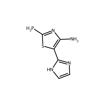 Nc1nc(P)sc1-c1ncc[nH]1